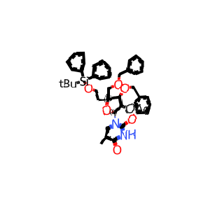 CC(=O)OC1C(OCc2ccccc2)[C@@](CCO[Si](c2ccccc2)(c2ccccc2)C(C)(C)C)(COCc2ccccc2)O[C@H]1n1cc(C)c(=O)[nH]c1=O